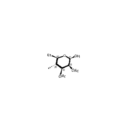 CC[C@H]1O[C@@H](O)[C@@H](OC(C)=O)[C@@H](OC(C)=O)[C@@H]1C